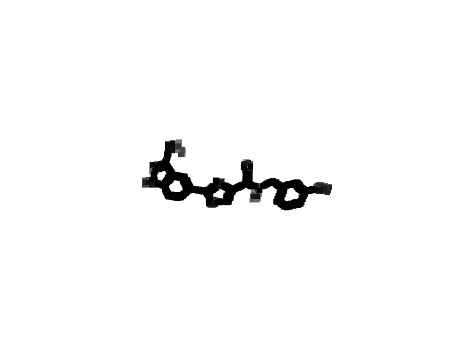 Nc1n[nH]c2ccc(-c3nc(C(=O)NCc4cccc(O)c4)co3)cc12